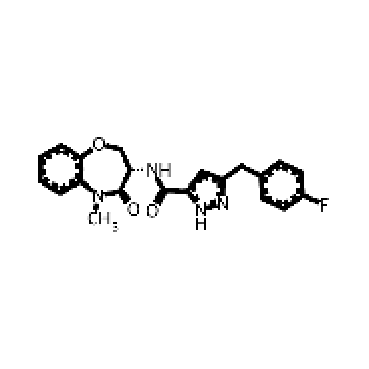 CN1C(=O)[C@@H](NC(=O)c2cc(Cc3ccc(F)cc3)n[nH]2)COc2ccccc21